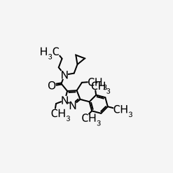 CCCN(CC1CC1)C(=O)c1c(CC)c(-c2c(C)cc(C)cc2C)nn1CC